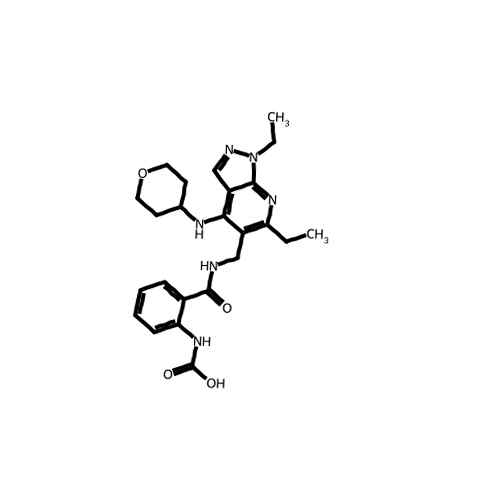 CCc1nc2c(cnn2CC)c(NC2CCOCC2)c1CNC(=O)c1ccccc1NC(=O)O